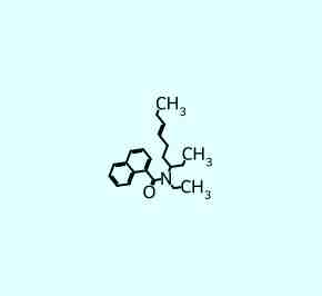 CCC=CCCC(CC)N(CC)C(=O)c1cccc2ccccc12